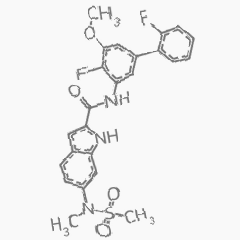 COc1cc(-c2ccccc2F)cc(NC(=O)c2cc3ccc(N(C)S(C)(=O)=O)cc3[nH]2)c1F